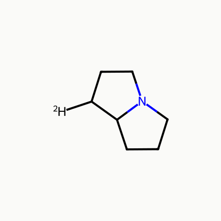 [2H]C1CCN2CCCC12